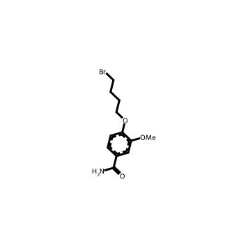 COc1cc(C(N)=O)ccc1OCCCCBr